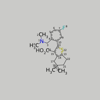 CN(C)Cc1ccc(F)cc1-c1sc2c(c1C(=O)O)CC(C)(C)CC2